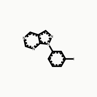 Ic1cccc(-n2ncc3cncnc32)c1